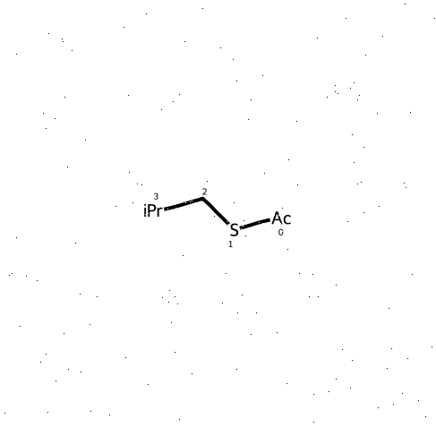 CC(=O)SCC(C)C